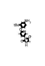 CC(C)(C)c1cc(N)ccc1Oc1ccc(N2C(=O)CNC2=O)cn1